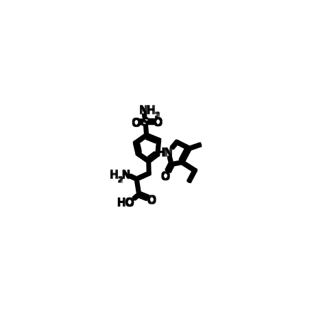 CCC1=C(C)CNC1=O.NC(Cc1ccc(S(N)(=O)=O)cc1)C(=O)O